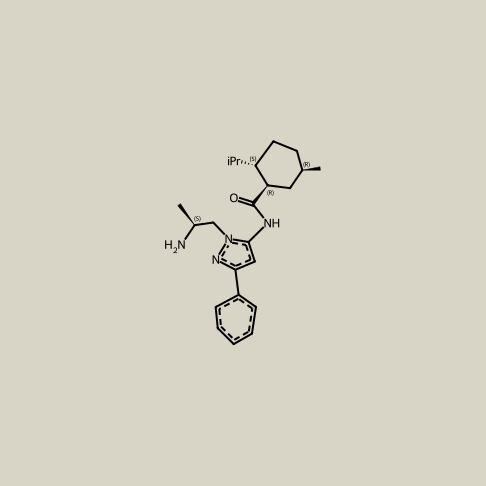 CC(C)[C@@H]1CC[C@@H](C)C[C@H]1C(=O)Nc1cc(-c2ccccc2)nn1C[C@H](C)N